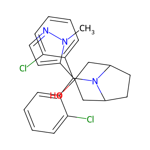 Cn1nccc1C1(O)CC2CCC(C1)N2C(c1ccccc1Cl)c1ccccc1Cl